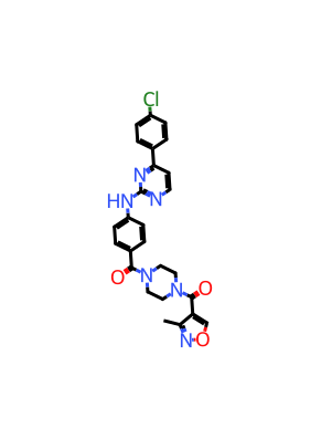 Cc1nocc1C(=O)N1CCN(C(=O)c2ccc(Nc3nccc(-c4ccc(Cl)cc4)n3)cc2)CC1